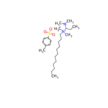 CCCCCCCCCCCC[N+](C)(C)C(CC)N(C)C.Cc1ccc(S(=O)(=O)[O-])cc1